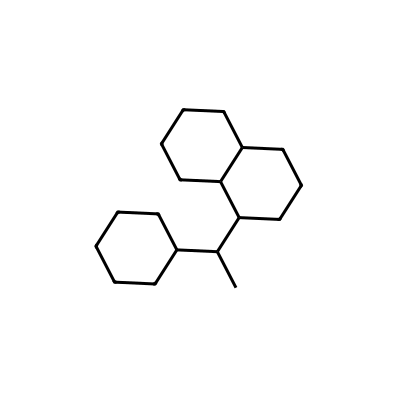 CC(C1CCCCC1)C1CCCC2CCCCC21